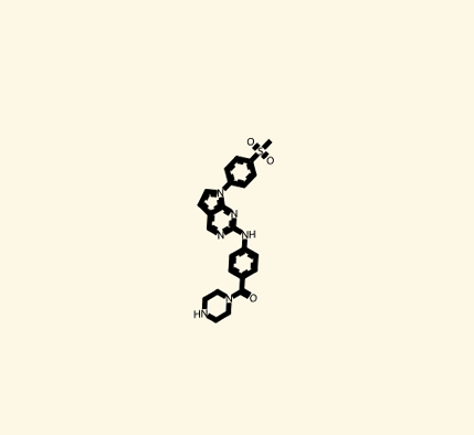 CS(=O)(=O)c1ccc(-n2ccc3cnc(Nc4ccc(C(=O)N5CCNCC5)cc4)nc32)cc1